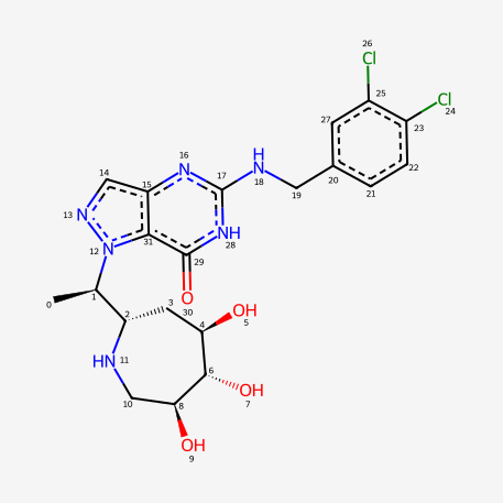 C[C@H]([C@@H]1C[C@@H](O)[C@H](O)[C@@H](O)CN1)n1ncc2nc(NCc3ccc(Cl)c(Cl)c3)[nH]c(=O)c21